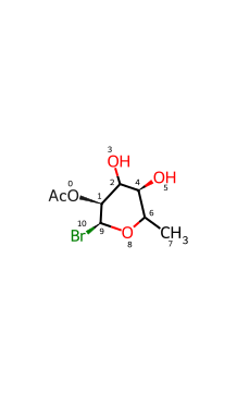 CC(=O)O[C@H]1C(O)[C@@H](O)C(C)O[C@H]1Br